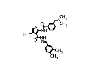 Cc1ccc(/C=N/NC(=O)c2c(C)csc2NC(=O)c2cccc(CN(C)C)c2)cc1C